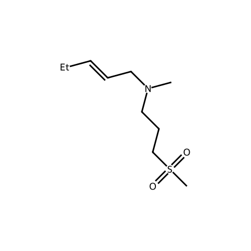 CC/C=C/CN(C)CCCS(C)(=O)=O